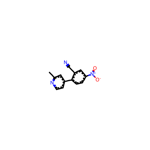 Cc1cc(-c2ccc([N+](=O)[O-])cc2C#N)ccn1